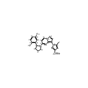 COc1cc(C)n(-c2cnn3ccc(N4CCCC4c4cc(F)ccc4F)nc23)n1